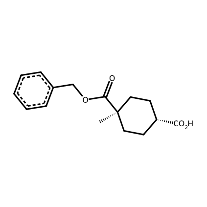 C[C@]1(C(=O)OCc2ccccc2)CC[C@H](C(=O)O)CC1